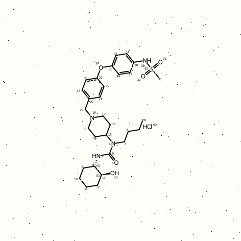 CCCCN(C(=O)N[C@H]1CCCC[C@@H]1O)C1CCN(Cc2ccc(Oc3ccc(NS(C)(=O)=O)cc3)cc2)CC1.Cl